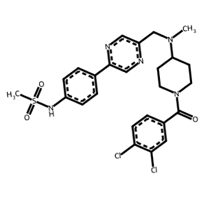 CN(Cc1cnc(-c2ccc(NS(C)(=O)=O)cc2)cn1)C1CCN(C(=O)c2ccc(Cl)c(Cl)c2)CC1